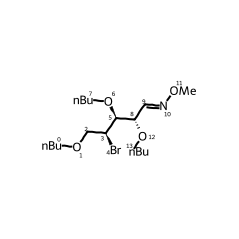 CCCCOC[C@H](Br)[C@@H](OCCCC)[C@H](/C=N/OC)OCCCC